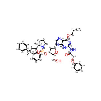 C[Si](C[C@@H]1O[P@@](O[C@@H]2C[C@H](n3cnc4c(OCCC#N)nc(NC(=O)COc5ccccc5)nc43)O[C@@H]2CO)N2CCC[C@H]12)(c1ccccc1)c1ccccc1